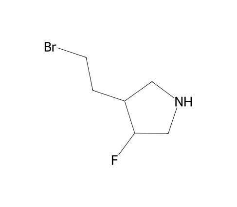 FC1CNCC1CCBr